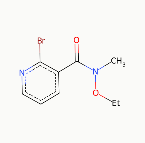 CCON(C)C(=O)c1cccnc1Br